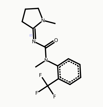 CN1CCC/C1=N/C(=O)N(C)c1ccccc1C(F)(F)F